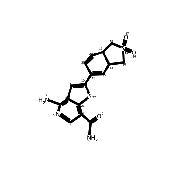 NC(=O)c1cnc(N)c2cc(C3=CC4CS(=O)(=O)CC4C=C3)sc12